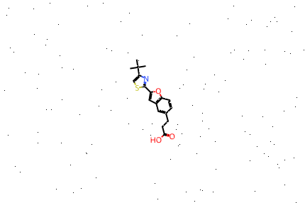 CC(C)(C)c1csc(-c2cc3cc(CCC(=O)O)ccc3o2)n1